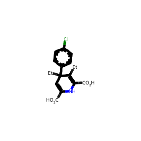 CCC1=C(C(=O)O)NC(C(=O)O)=CC1(CC)c1ccc(Cl)cc1